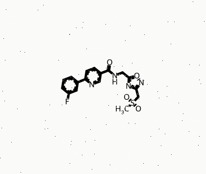 CS(=O)(=O)Cc1noc(CNC(=O)c2ccc(-c3cccc(F)c3)nc2)n1